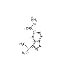 CC(C)c1nnc2ccc(C(=O)CN)cn12